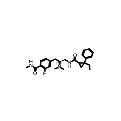 CCC1(c2ccccc2)CC1C(=O)NC[C@H](Cc1ccc(C(=O)NC)c(F)c1)N(C)C